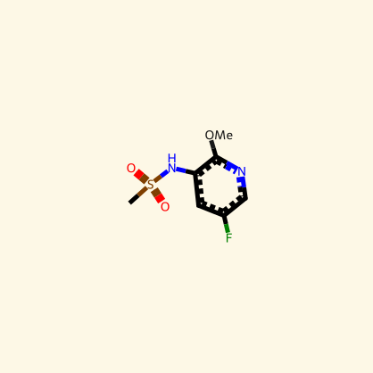 COc1ncc(F)cc1NS(C)(=O)=O